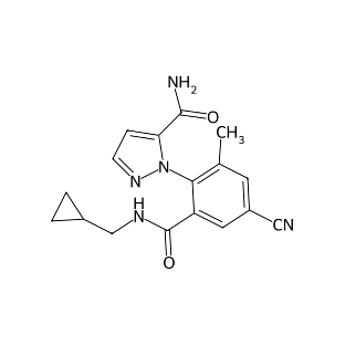 Cc1cc(C#N)cc(C(=O)NCC2CC2)c1-n1nccc1C(N)=O